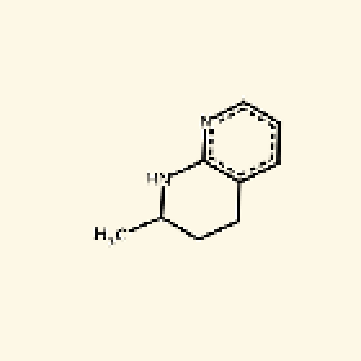 CC1CCc2cc[c]nc2N1